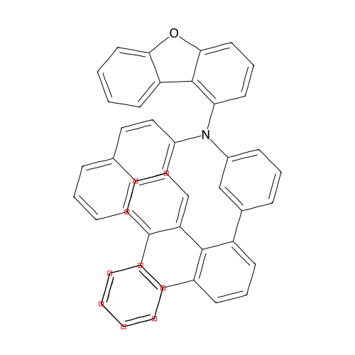 c1ccc(-c2ccccc2-c2c(-c3ccccc3)cccc2-c2cccc(N(c3ccc4ccccc4c3)c3cccc4oc5ccccc5c34)c2)cc1